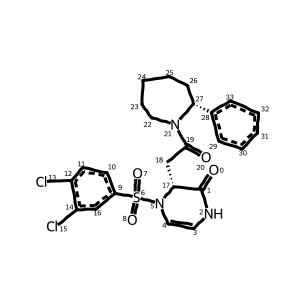 O=C1NC=CN(S(=O)(=O)c2ccc(Cl)c(Cl)c2)[C@@H]1CC(=O)N1CCCCC[C@@H]1c1ccccc1